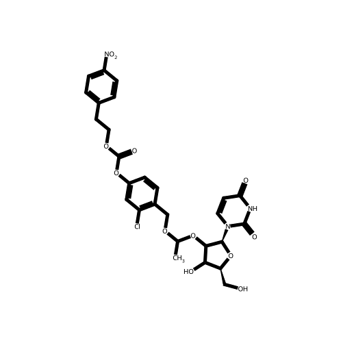 CC(OCc1ccc(OC(=O)OCCc2ccc([N+](=O)[O-])cc2)cc1Cl)OC1C(O)[C@H](CO)O[C@@H]1n1ccc(=O)[nH]c1=O